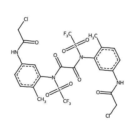 Cc1ccc(NC(=O)CCl)cc1N(C(=O)C(=O)N(c1cc(NC(=O)CCl)ccc1C)S(=O)(=O)C(F)(F)F)S(=O)(=O)C(F)(F)F